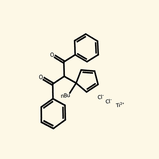 CCCCC1(C(C(=O)c2ccccc2)C(=O)c2ccccc2)C=CC=C1.[Cl-].[Cl-].[Ti+2]